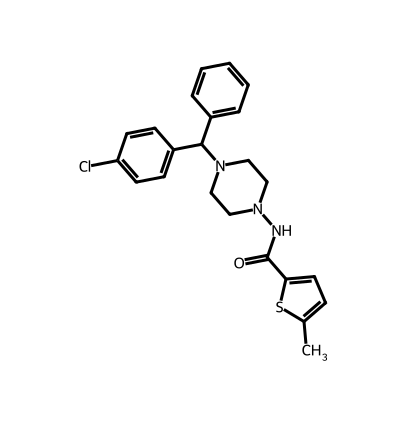 Cc1ccc(C(=O)NN2CCN(C(c3ccccc3)c3ccc(Cl)cc3)CC2)s1